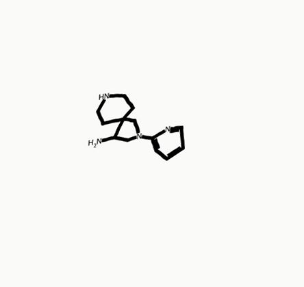 NC1CN(c2ccccn2)CC12CCNCC2